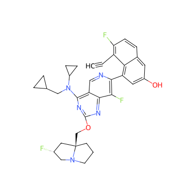 C#Cc1c(F)ccc2cc(O)cc(-c3ncc4c(N(CC5CC5)C5CC5)nc(OC[C@@]56CCCN5C[C@H](F)C6)nc4c3F)c12